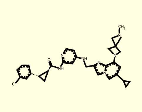 CN1CC2(C1)CN(c1cc(C3CC3)cn3cc(CNc4ccnc(NC(=O)[C@H]5C[C@@H]5c5cccc(Cl)c5)c4)nc13)C2